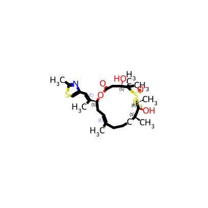 C/C1=C\C[C@@H](/C(C)=C/c2csc(C)n2)OC(=O)C[C@H](O)C(C)(C)[SH2+]([O-])[C@H](C)[C@@H](O)[C@@H](C)CCC1